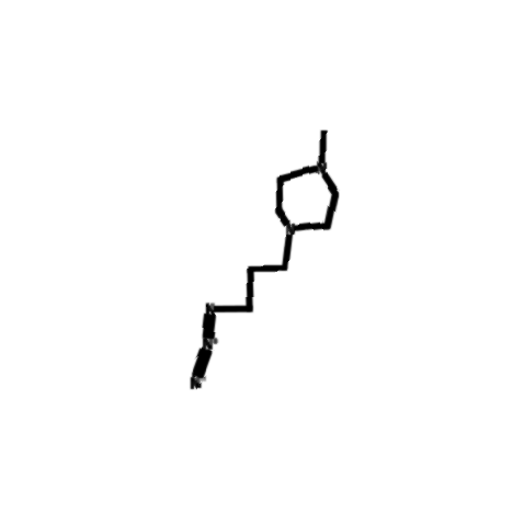 CN1CCN(CCCN=[N+]=[N-])CC1